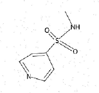 CNS(=O)(=O)c1ccncc1